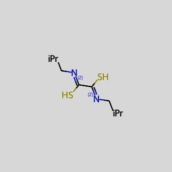 CC(C)C/N=C(S)/C(S)=N/CC(C)C